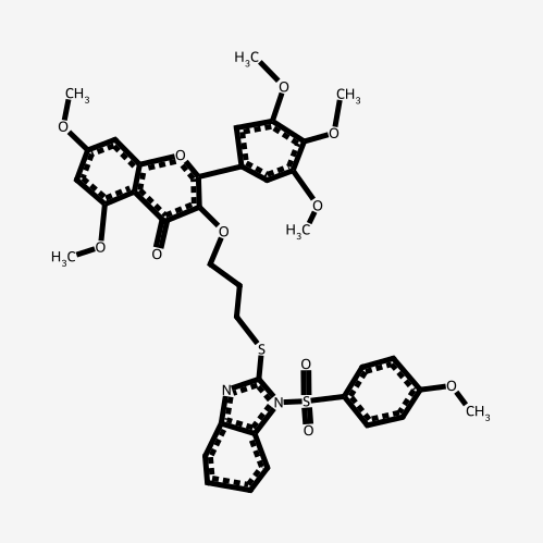 COc1ccc(S(=O)(=O)n2c(SCCCOc3c(-c4cc(OC)c(OC)c(OC)c4)oc4cc(OC)cc(OC)c4c3=O)nc3ccccc32)cc1